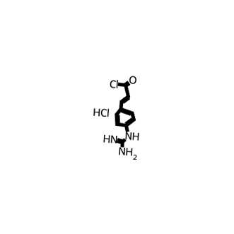 Cl.N=C(N)Nc1ccc(/C=C/C(=O)Cl)cc1